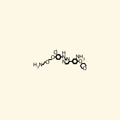 COc1cc(Nc2nccc(-c3ccc(OC4CCOCC4)c(N)c3)n2)ccc1OCCOCCN